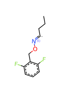 CCC/[C]=N/OCc1c(F)cccc1F